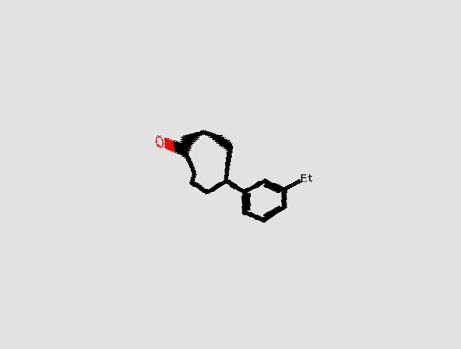 CCc1cccc(C2CCC(=O)CC2)c1